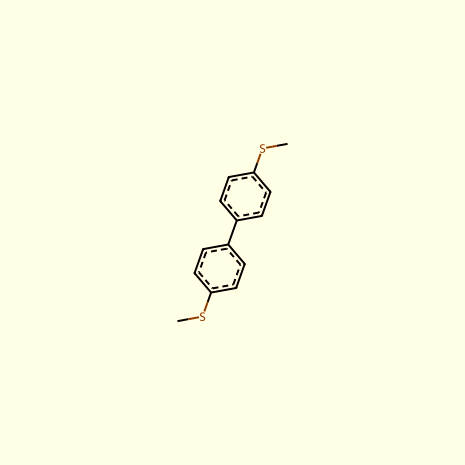 CSc1ccc(-c2ccc(SC)cc2)cc1